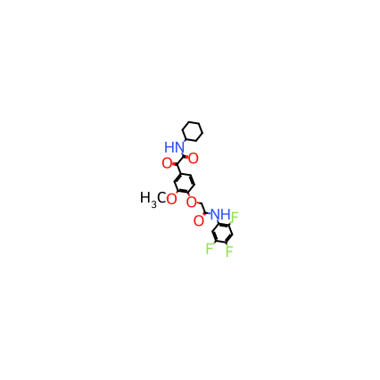 COc1cc(C(=O)C(=O)NC2CCCCC2)ccc1OCC(=O)Nc1cc(F)c(F)cc1F